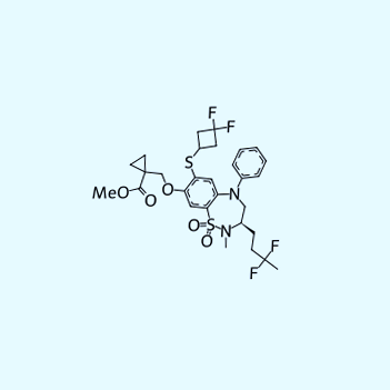 COC(=O)C1(COc2cc3c(cc2SC2CC(F)(F)C2)N(c2ccccc2)C[C@@H](CCC(C)(F)F)N(C)S3(=O)=O)CC1